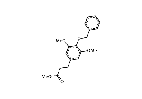 COC(=O)CCc1cc(OC)c(OCc2ccccc2)c(OC)c1